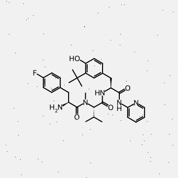 CC(C)[C@@H](C(=O)N[C@@H](Cc1ccc(O)c(C(C)(C)C)c1)C(=O)Nc1ccccn1)N(C)C(=O)[C@@H](N)Cc1ccc(F)cc1